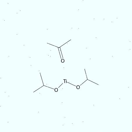 CC(C)=O.CC(C)[O][Ti][O]C(C)C